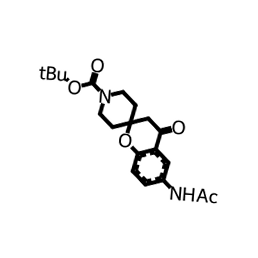 CC(=O)Nc1ccc2c(c1)C(=O)CC1(CCN(C(=O)OC(C)(C)C)CC1)O2